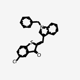 O=C1C(=Cc2cn(Cc3ccccc3)c3ccccc23)Sc2ccc(Cl)cc21